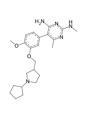 CNc1nc(C)c(-c2ccc(OC)c(OCC3CCN(C4CCCC4)C3)c2)c(N)n1